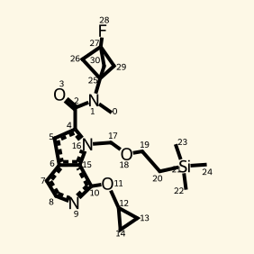 CN(C(=O)c1cc2ccnc(OC3CC3)c2n1COCC[Si](C)(C)C)C12CC(F)(C1)C2